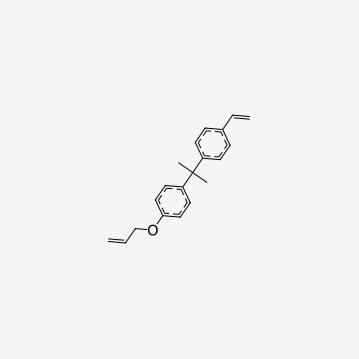 C=CCOc1ccc(C(C)(C)c2ccc(C=C)cc2)cc1